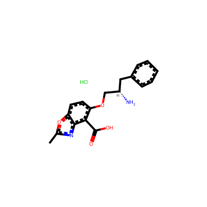 Cc1nc2c(C(=O)O)c(OC[C@@H](N)Cc3ccccc3)ccc2o1.Cl